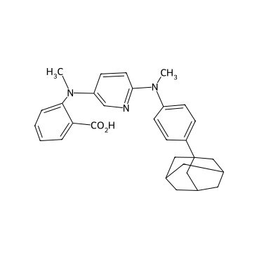 CN(c1ccc(C23CC4CC(CC(C4)C2)C3)cc1)c1ccc(N(C)c2ccccc2C(=O)O)cn1